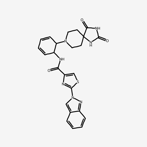 O=C1NC(=O)C2(CCN(C3C=CC=CC3NC(=O)c3csc(-n4cc5ccccc5n4)n3)CC2)N1